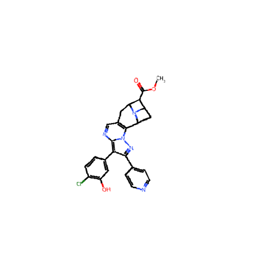 COC(=O)C1C2Cc3cnc4c(-c5ccc(Cl)c(O)c5)c(-c5ccncc5)nn4c3C3CC1N32